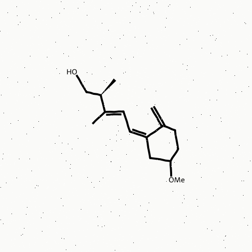 C=C1CCC(OC)C/C1=C/C=C(\C)[C@H](C)CO